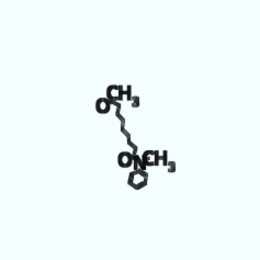 CC(=O)CCCCCCCC(=O)N(C)c1ccccc1